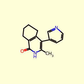 Cc1[nH]c(=O)c2c(c1-c1cccnc1)CCCC2